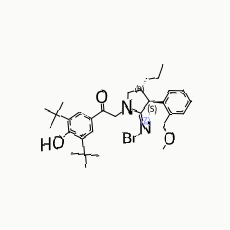 CCC[C@H]1CN(CC(=O)c2cc(C(C)(C)C)c(O)c(C(C)(C)C)c2)/C(=N\Br)[C@@H]1c1ccccc1COC